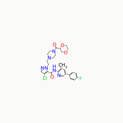 Cc1cc(-c2ccc(F)cc2)cnc1NC(=O)c1c(Cl)cnn1CCN1CCN(C(=O)C2COCCO2)CC1